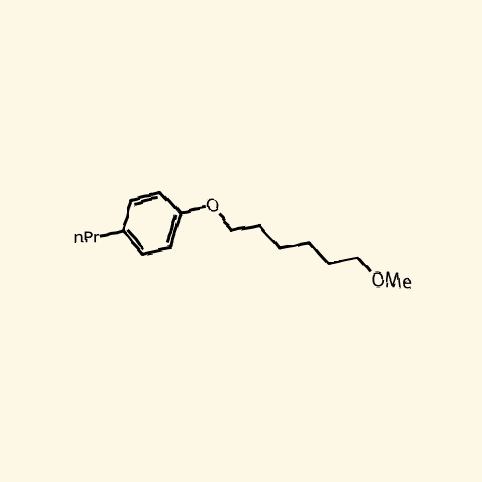 CCCc1ccc(OCCCCCCOC)cc1